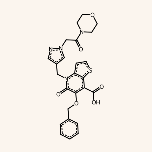 O=C(O)c1c(OCc2ccccc2)c(=O)n(Cc2cnn(CC(=O)N3CCOCC3)c2)c2ccsc12